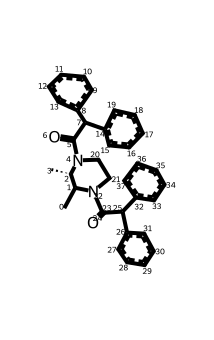 CC1[C@H](C)N(C(=O)C(c2ccccc2)c2ccccc2)CCN1C(=O)C(c1ccccc1)c1ccccc1